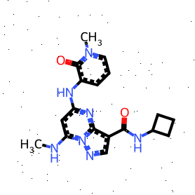 CNc1cc(Nc2cccn(C)c2=O)nc2c(C(=O)NC3CCC3)cnn12